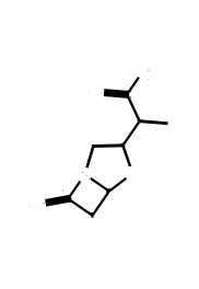 CC(C(=O)O)C1CN2C(=O)CC2O1